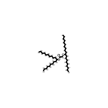 CCCCCCCCCCC(CCCCCCCCC)OCC(=O)OC(CCCCCCCCC)CCCCCCCCCC